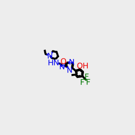 CCN1CCCC(Nc2nc3nc(-c4c(C)cc(C(F)(F)F)cc4O)cnc3o2)C1